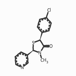 CN1C(=O)[C@H](c2ccc(Cl)cc2)S[C@@H]1c1cccnc1